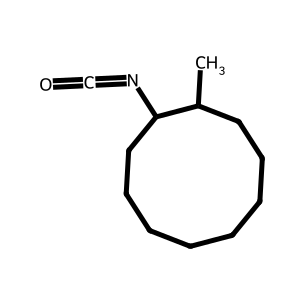 CC1CCCCCCCCC1N=C=O